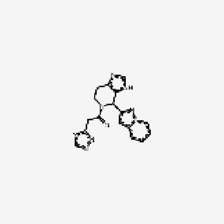 O=C(Cc1nncs1)N1CCc2nc[nH]c2C1c1cc2ccccn2n1